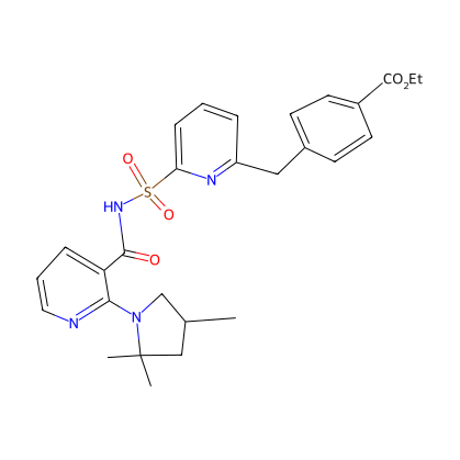 CCOC(=O)c1ccc(Cc2cccc(S(=O)(=O)NC(=O)c3cccnc3N3CC(C)CC3(C)C)n2)cc1